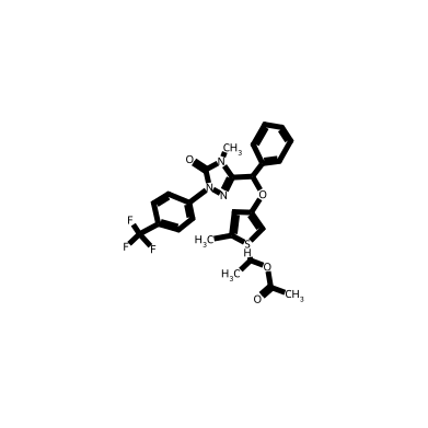 CC(=O)OC(C)[SH]1C=C(OC(c2ccccc2)c2nn(-c3ccc(C(F)(F)F)cc3)c(=O)n2C)C=C1C